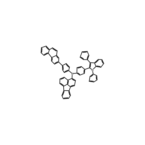 c1ccc(-c2c(-c3ccc(N(c4ccc(-c5ccc6c(ccc7ccccc76)c5)cc4)c4ccc5c6c(cccc46)-c4ccccc4-5)cc3)n(-c3ccccc3)c3ccccc23)cc1